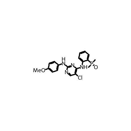 COc1ccc(Nc2ncc(Cl)c(Nc3ccccc3P(C)(C)=O)n2)cc1